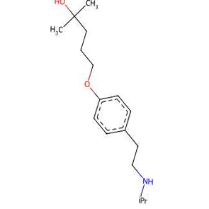 CC(C)NCCc1ccc(OCCCC(C)(C)O)cc1